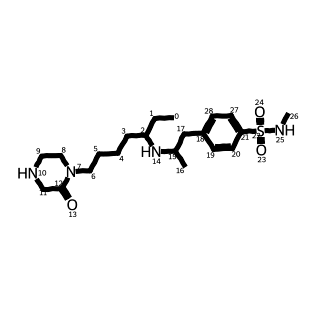 CCC(CCCCN1CCNCC1=O)NC(C)Cc1ccc(S(=O)(=O)NC)cc1